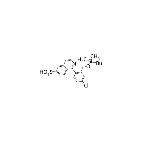 CC(C)(C)[Si](C)(C)OCc1cc(Cl)ccc1-c1nccc2cc(S(=O)(=O)O)ccc12